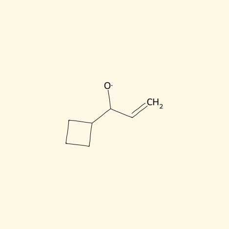 C=CC([O])C1CCC1